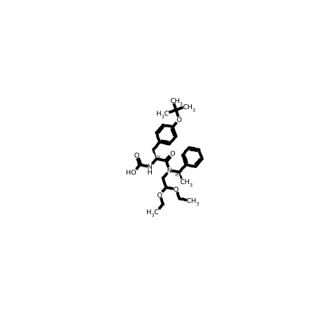 CCOC(CN(C(=O)[C@H](Cc1ccc(OC(C)(C)C)cc1)NC(=O)O)[C@H](C)c1ccccc1)OCC